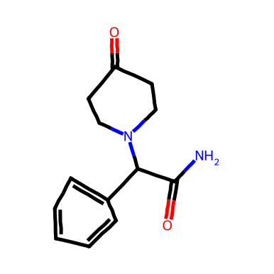 NC(=O)C(c1ccccc1)N1CCC(=O)CC1